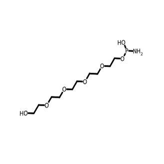 NP(O)OCCOCCOCCOCCOCCO